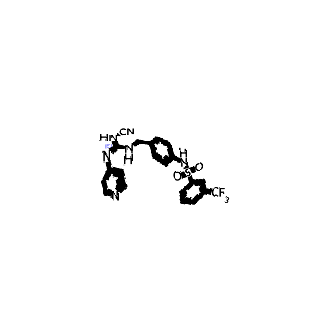 N#CN/C(=N/c1ccncc1)NCc1ccc(NS(=O)(=O)c2cccc(C(F)(F)F)c2)cc1